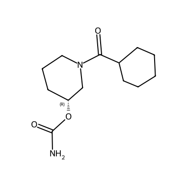 NC(=O)O[C@@H]1CCCN(C(=O)C2CCCCC2)C1